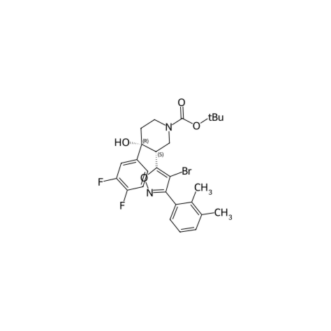 Cc1cccc(-c2noc([C@H]3CN(C(=O)OC(C)(C)C)CC[C@]3(O)c3ccc(F)c(F)c3)c2Br)c1C